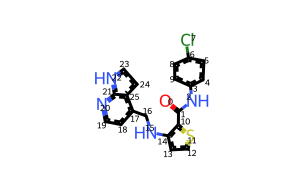 O=C(Nc1ccc(Cl)cc1)c1sccc1NCc1ccnc2[nH]ccc12